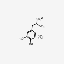 Cl.N.NC(Cc1ccc(O)c(O)c1)C(=O)O